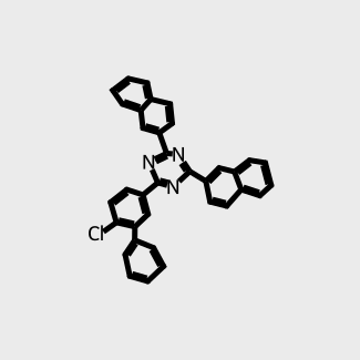 Clc1ccc(-c2nc(-c3ccc4ccccc4c3)nc(-c3ccc4ccccc4c3)n2)cc1-c1ccccc1